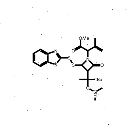 C=C(C)C(C(=O)OC)N1C(=O)C([C@@](C)(O[SiH](C)C)C(C)(C)C)C1SSc1nc2ccccc2s1